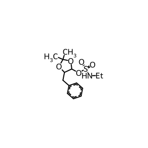 CCNS(=O)(=O)OC1OC(C)(C)OC1Cc1ccccc1